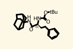 CC(C)(C)OC(=O)N[C@@H](CCc1ccccc1)C(=O)NC12CC3CC(CC(C3)C1)C2